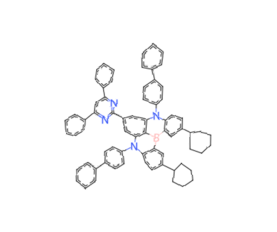 c1ccc(-c2ccc(N3c4ccc(C5CCCCC5)cc4B4c5cc(C6CCCCC6)ccc5N(c5ccc(-c6ccccc6)cc5)c5cc(-c6nc(-c7ccccc7)cc(-c7ccccc7)n6)cc3c54)cc2)cc1